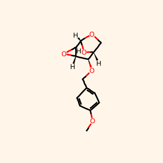 COc1ccc(CO[C@H]2[C@@H]3O[C@@H]3[C@@H]3OC[C@H]2O3)cc1